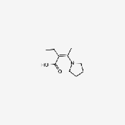 CCC(C(=O)O)=C(C)N1CCCC1